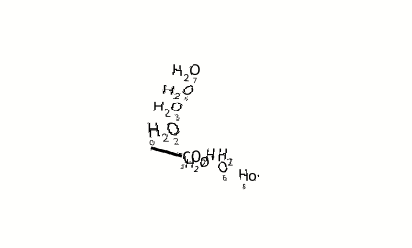 CC(=O)O.O.O.O.O.O.O.[Ho]